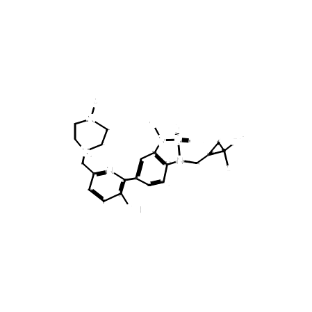 CC(=O)N1CCN(Cc2ccc(C)c(-c3ccc4c(c3)N(C)S(=O)(=O)N4CC3CC3(F)F)n2)CC1